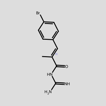 C/C(=C\c1ccc(Br)cc1)C(=O)NC(=N)N